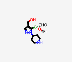 CC(C)OC=O.OCc1cnn(C2CCNCC2)c1Br